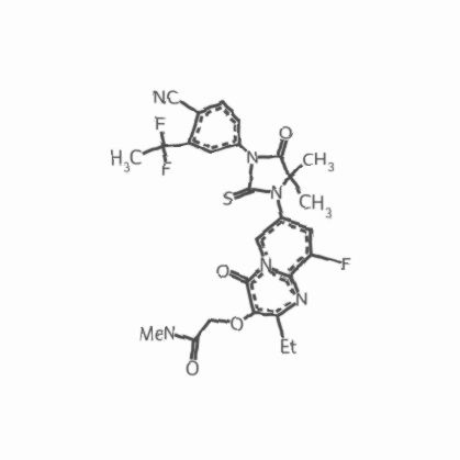 CCc1nc2c(F)cc(N3C(=S)N(c4ccc(C#N)c(C(C)(F)F)c4)C(=O)C3(C)C)cn2c(=O)c1OCC(=O)NC